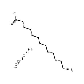 CCCCCCCCCCCCCC(=O)[O-].[Cl-].[Cl-].[Cl-].[Cl-].[Cr+3].[Cr+3].[OH-]